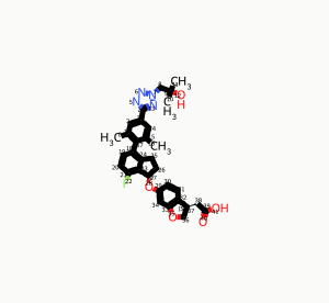 Cc1cc(-c2nnn(CC(C)(C)O)n2)cc(C)c1-c1ccc(F)c2c1CC[C@H]2Oc1ccc2c(c1)OC[C@H]2CC(=O)O